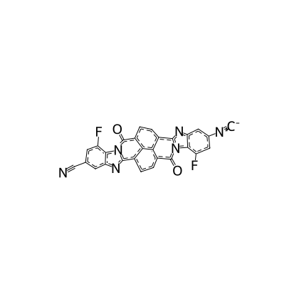 [C-]#[N+]c1cc(F)c2c(c1)nc1c3ccc4c(=O)n5c(nc6cc(C#N)cc(F)c65)c5ccc(c(=O)n12)c3c45